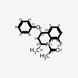 CC(=O)N1c2c(F)cccc2[C@@H](Oc2ccccc2)C[C@H]1C